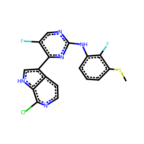 CSc1cccc(Nc2ncc(F)c(-c3c[nH]c4c(Cl)nccc34)n2)c1F